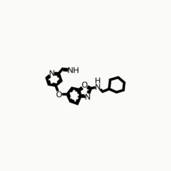 N=Cc1cc(Oc2ccc3nc(NCC4CCCCC4)oc3c2)ccn1